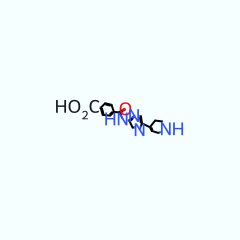 O=C(O)c1ccc(C(=O)Nc2cnc(C3=CCNCC3)cn2)cc1